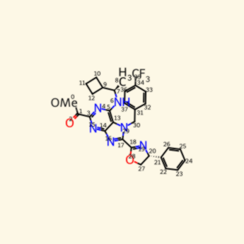 COC(=O)c1nc(N[C@H](C)C2CCC2)c2c(n1)nc(C1=N[C@H](c3ccccc3)CO1)n2Cc1ccc(C(F)(F)F)cc1